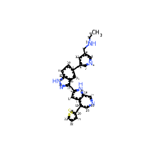 CCNCc1cncc(-c2ccc3[nH]nc(-c4cc5c(-c6cccs6)cncc5[nH]4)c3c2)c1